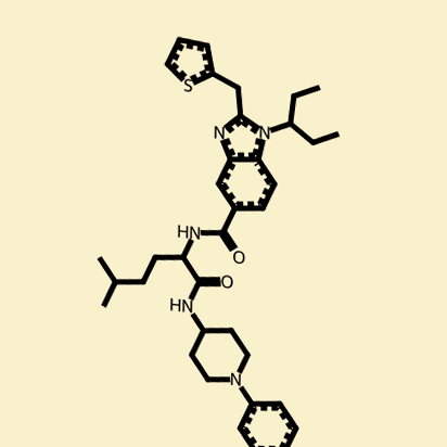 CCC(CC)n1c(Cc2cccs2)nc2cc(C(=O)NC(CCC(C)C)C(=O)NC3CCN(c4ccccc4)CC3)ccc21